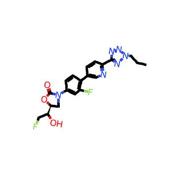 CCCn1nnc(-c2ccc(-c3ccc(N4C[C@@H](C(O)CF)OC4=O)cc3F)cn2)n1